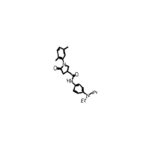 CCN(c1ccc(NC(=O)C2CC(=O)N(c3cc(C)ccc3C)C2)cc1)C(C)C